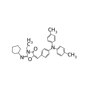 CCN1C(=O)/C(=C\c2ccc(N(c3ccc(C)cc3)c3ccc(C)cc3)cc2)O/C1=N/C1CCCCC1